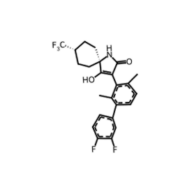 Cc1ccc(-c2ccc(F)c(F)c2)c(C)c1C1=C(O)[C@]2(CC[C@@H](C(F)(F)F)CC2)NC1=O